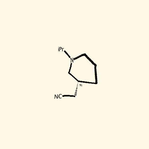 CC(C)N1CCC[C@H](CC#N)C1